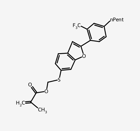 C=C(C)C(=O)OCSc1ccc2cc(-c3ccc(CCCCC)cc3C(F)(F)F)oc2c1